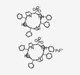 O=S(=O)([O-])c1c2nc(c(-c3ccccc3)c3ccc([nH]3)c(-c3ccccc3)c3nc(c(-c4ccccc4)c4[nH]c1cc4-c1ccccc1)C=C3)C=C2.O=S(=O)([O-])c1c2nc(c(-c3ccccc3)c3ccc([nH]3)c(-c3ccccc3)c3nc(c(-c4ccccc4)c4[nH]c1cc4-c1ccccc1)C=C3)C=C2.[Pd+2]